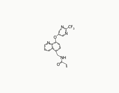 C=CC(=O)NCc1ccc(Oc2cnc(C(F)(F)F)nc2)c2ncccc12